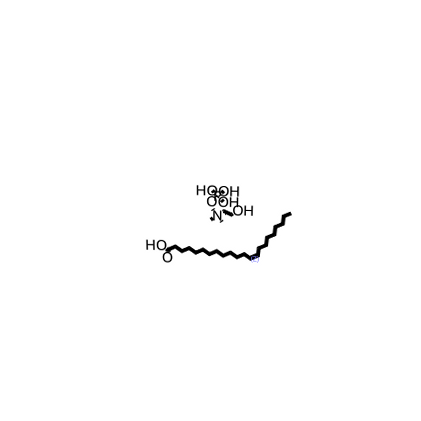 CCCCCCCC/C=C\CCCCCCCCCCCC(=O)O.C[N+](C)(C)CCO.O=P(O)(O)O